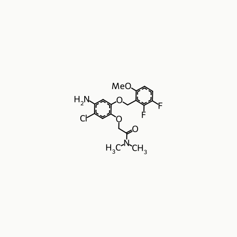 COc1ccc(F)c(F)c1COc1cc(N)c(Cl)cc1OCC(=O)N(C)C